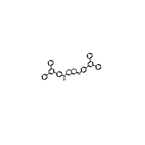 C1=C(Nc2ccc(-c3cc(-c4ccccc4)cc(-c4ccccc4)c3)cc2)CCC2CC/C(=N\c3ccc(-c4cc(-c5ccccc5)cc(-c5ccccc5)c4)cc3)C=C12